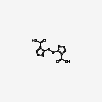 O=C(O)n1ccnc1SSc1nccn1C(=O)O